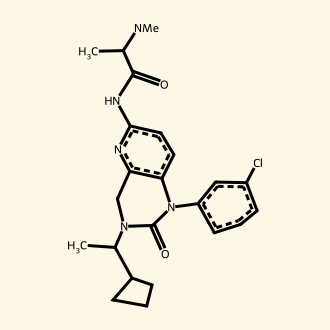 CNC(C)C(=O)Nc1ccc2c(n1)CN(C(C)C1CCC1)C(=O)N2c1cccc(Cl)c1